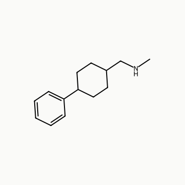 CNCC1CCC(c2ccccc2)CC1